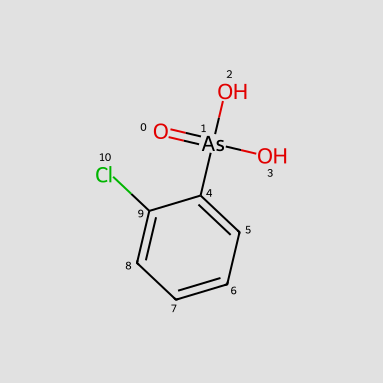 O=[As](O)(O)c1ccccc1Cl